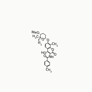 CO[C@@H]1CC[C@H](Oc2ccc3c(O)c(NC(=O)c4ccc(C)cc4)c(=O)oc3c2C)OC1(C)C